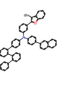 CC(C)(C)c1c(-c2cccc(N(c3ccc(-c4ccc5ccccc5c4)cc3)c3ccc(-c4ccccc4-c4ccccc4-c4ccccc4)cc3)c2)oc2ccccc12